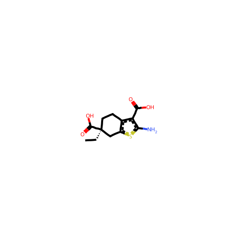 CC[C@]1(C(=O)O)CCc2c(sc(N)c2C(=O)O)C1